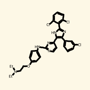 CCN(CC)CCOc1ccc(Nc2nccc(-c3[nH]c(-c4c(Cl)cccc4Cl)nc3-c3cccc(Cl)c3)n2)cc1